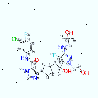 Cn1cnc(C2CC3CC(O)(c4c(F)c(NCC(C)(C)O)nn4CCO)CC3C2)c1C(=O)Nc1ccc(F)c(Cl)c1